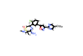 CN=S1(=O)C[C@@](C)(c2cc(-c3cc(-c4ncc(OC)cn4)no3)ccc2F)N=C(N)C1(C)C